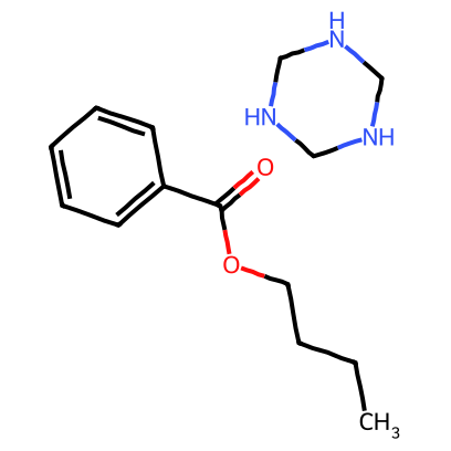 C1NCNCN1.CCCCOC(=O)c1ccccc1